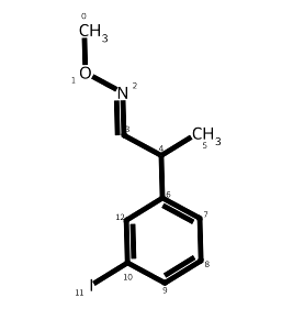 CON=CC(C)c1cccc(I)c1